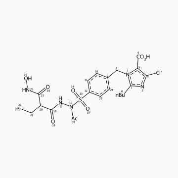 CCCCc1nc(Cl)c(C(=O)O)n1Cc1ccc(S(=O)(=O)N(NC(=O)C(CC(C)C)C(=O)NO)C(C)=O)cc1